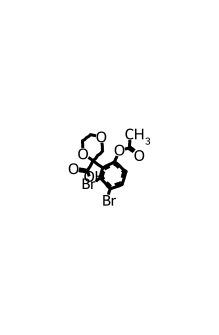 CC(=O)Oc1ccc(Br)c(Br)c1C1(C(=O)O)COCCO1